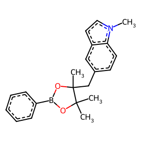 Cn1ccc2cc(CC3(C)OB(c4ccccc4)OC3(C)C)ccc21